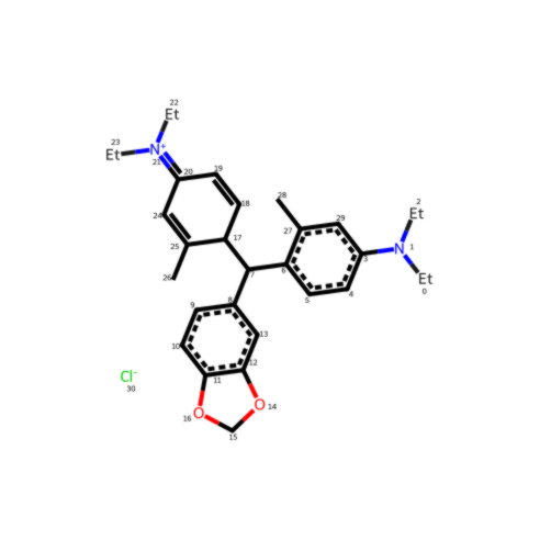 CCN(CC)c1ccc(C(c2ccc3c(c2)OCO3)C2C=CC(=[N+](CC)CC)C=C2C)c(C)c1.[Cl-]